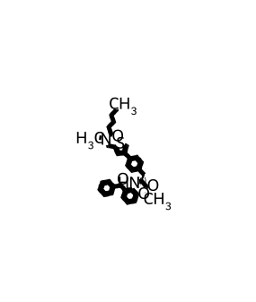 CCCCCC(=O)N(C)Cc1cc(-c2ccc(C[C@H](Nc3ccccc3C(=O)c3ccccc3)C(=O)OC)cc2)cs1